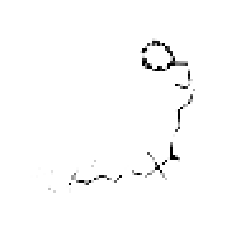 CO[Si](CCCSCC(C)(C)C(=O)OCCC[N+](C)(C)Cc1ccccc1)(OC)OC